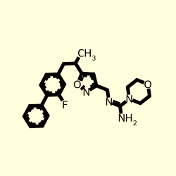 CC(Cc1ccc(-c2ccccc2)c(F)c1)c1cc(CN=C(N)N2CCOCC2)no1